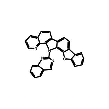 c1ccc2nc(-n3c4c(ccc5cccnc54)c4ccc5c6ccccc6oc5c43)ncc2c1